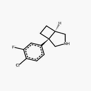 Fc1cc([C@@]23CC[C@H]2CNC3)ccc1Cl